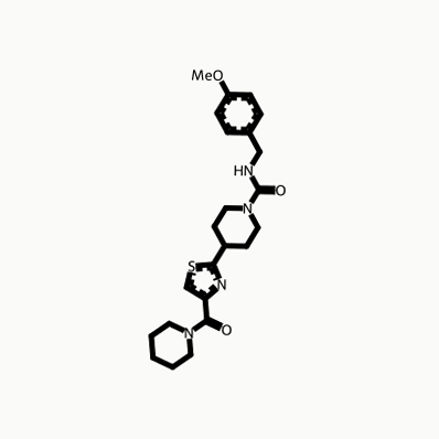 COc1ccc(CNC(=O)N2CCC(c3nc(C(=O)N4CCCCC4)cs3)CC2)cc1